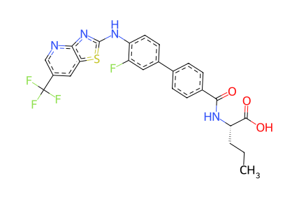 CCC[C@H](NC(=O)c1ccc(-c2ccc(Nc3nc4ncc(C(F)(F)F)cc4s3)c(F)c2)cc1)C(=O)O